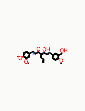 C=CC/C(C(=O)/C=C/c1ccc(OC)c(OC)c1)=C(O)\C=C\c1ccc(OC)c(CO)c1